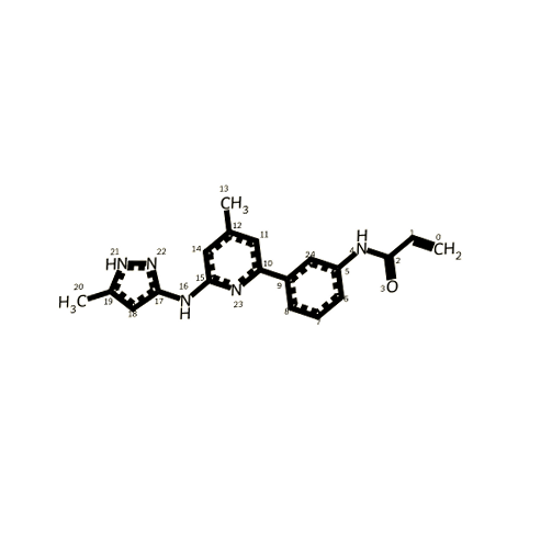 C=CC(=O)Nc1cccc(-c2cc(C)cc(Nc3cc(C)[nH]n3)n2)c1